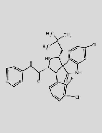 CC(C)(C)C[C@@H]1N[C@@H](C(=O)Nc2ccccc2)[C@H](c2cccc(Cl)c2F)C12C(=O)Nc1cc(Cl)ccc12